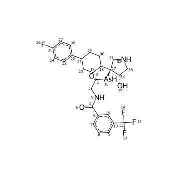 O=C(CNC(=O)c1cccc(C(F)(F)F)c1)[AsH][C@@]1(C2CCC(c3ccc(F)cc3)CC2)CNC[C@@H]1O